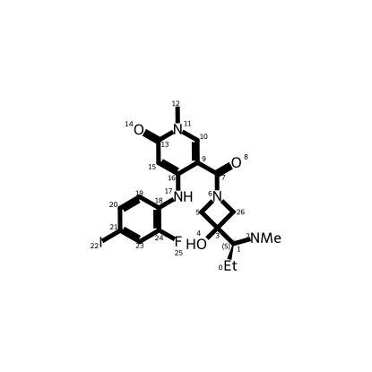 CC[C@H](NC)C1(O)CN(C(=O)c2cn(C)c(=O)cc2Nc2ccc(I)cc2F)C1